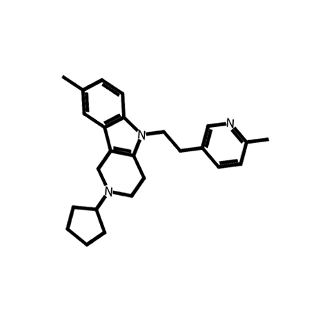 Cc1ccc2c(c1)c1c(n2CCc2ccc(C)nc2)CCN(C2CCCC2)C1